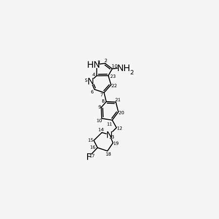 Nc1c[nH]c2ncc(-c3ccc(CN4CCC(F)CC4)cc3)cc12